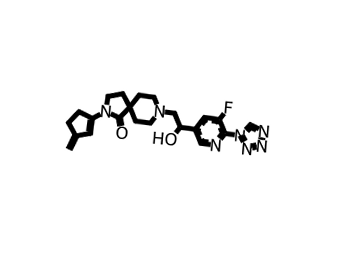 C=C1C=C(N2CCC3(CCN(CC(O)c4cnc(-n5cnnn5)c(F)c4)CC3)C2=O)CC1